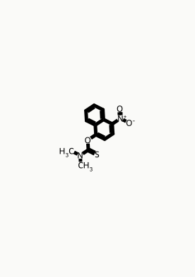 CN(C)C(=S)Oc1ccc([N+](=O)[O-])c2ccccc12